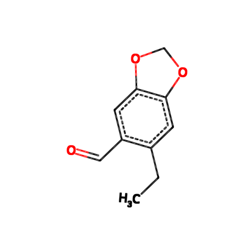 CCc1cc2c(cc1C=O)OCO2